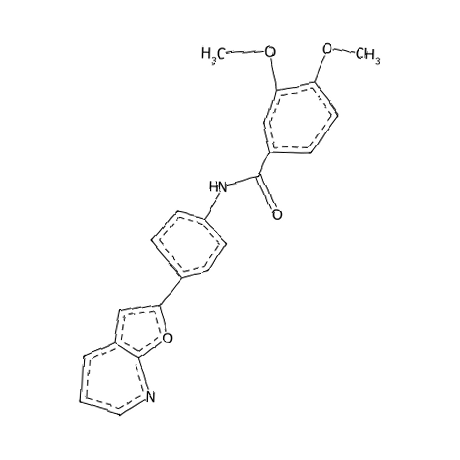 COc1ccc(C(=O)Nc2ccc(-c3cc4cccnc4o3)cc2)cc1OC